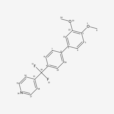 COc1ccc(-c2ccc(C(F)(F)c3ccncc3)cc2)cc1OC